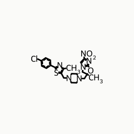 Cc1nc(-c2ccc(Cl)cc2)sc1CN1CCN(CC2(C)Cn3cc([N+](=O)[O-])nc3O2)CC1